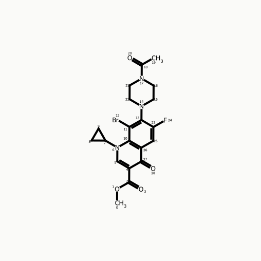 COC(=O)c1cn(C2CC2)c2c(Br)c(N3CCN(C(C)=O)CC3)c(F)cc2c1=O